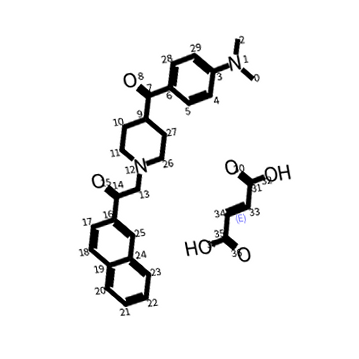 CN(C)c1ccc(C(=O)C2CCN(CC(=O)c3ccc4ccccc4c3)CC2)cc1.O=C(O)/C=C/C(=O)O